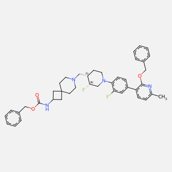 Cc1ccc(-c2ccc(N3CC[C@@H](CN4CCC5(CC4)CC(NC(=O)OCc4ccccc4)C5)[C@@H](F)C3)c(F)c2)c(OCc2ccccc2)n1